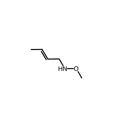 CC=CCNOC